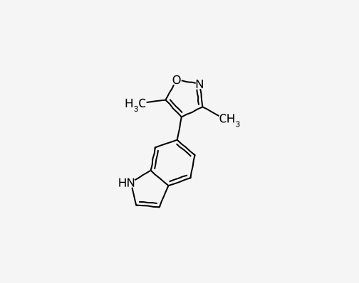 Cc1noc(C)c1-c1ccc2cc[nH]c2c1